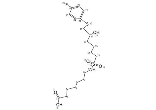 O=C(O)CCCCCCNS(=O)(=O)CCCCC(O)CSc1ccc(F)cc1